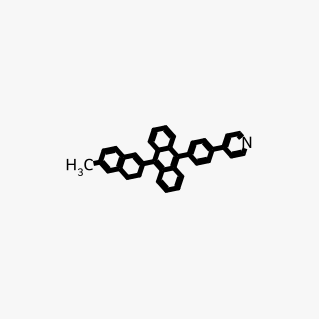 Cc1ccc2c(c1)CCC(C1=c3ccccc3=C(c3ccc(-c4ccncc4)cc3)C3C=CC=CC13)=C2